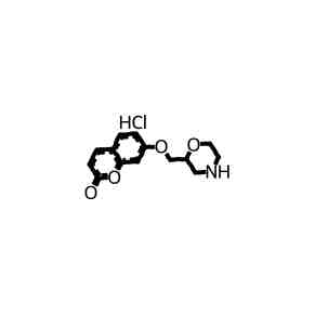 Cl.O=c1ccc2ccc(OCC3CNCCO3)cc2o1